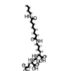 CCCCNC(=O)CCCCCCC(=O)NCCCC[C@H](NC(=O)N[C@@H](CCC(=O)O)C(=O)O)C(=O)O